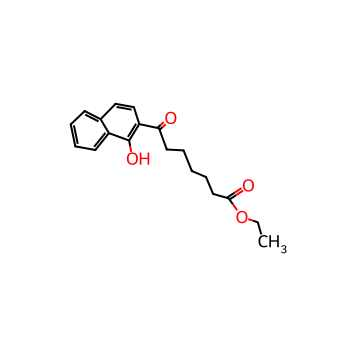 CCOC(=O)CCCCCC(=O)c1ccc2ccccc2c1O